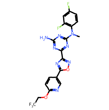 CN(c1nc(N)nc(-c2noc(-c3ccc(OCC(F)(F)F)nc3)n2)n1)c1ccc(F)cc1F